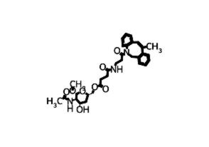 CO[C@H]1O[C@H](COC(=O)CCC(=O)NCCC(=O)N2Cc3ccccc3/C(C)=C\c3ccccc32)C[C@H](O)[C@H]1NC(C)=O